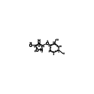 Cc1ccc(Oc2noc(=O)[nH]2)c(C)c1